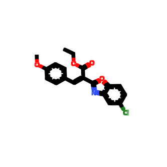 CCOC(=O)/C(=C\c1ccc(OC)cc1)c1nc2cc(Cl)ccc2o1